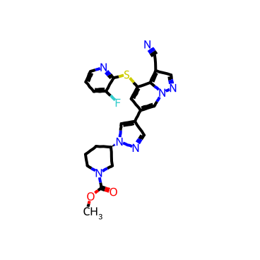 COC(=O)N1CCC[C@H](n2cc(-c3cc(Sc4ncccc4F)c4c(C#N)cnn4c3)cn2)C1